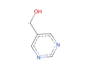 O[CH]c1cncnc1